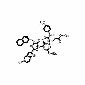 CC(C)(C)OC(=O)CC[C@H](NC(=O)[C@H](CC(=O)OC(C)(C)C)NC(=O)[C@H](Cc1ccc2ccccc2c1)NC(=O)c1cc2cc(Cl)ccc2[nH]1)C(=O)Nc1ccc(C(F)(F)F)cc1